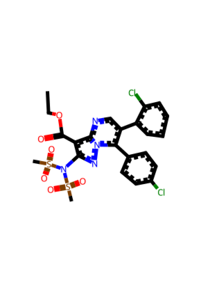 CCOC(=O)c1c(N(S(C)(=O)=O)S(C)(=O)=O)nn2c(-c3ccc(Cl)cc3)c(-c3ccccc3Cl)cnc12